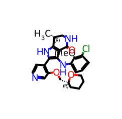 COc1c(Cl)cccc1Nc1c(-c2ccncc2OC[C@H]2CCCCO2)[nH]c2c1C(=O)NC[C@H]2C